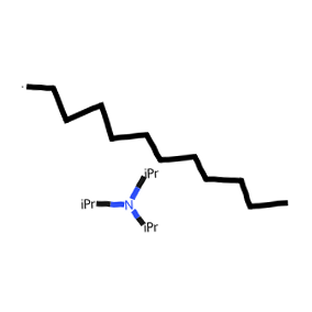 CC(C)N(C(C)C)C(C)C.[CH2]CCCCCCCCCCC